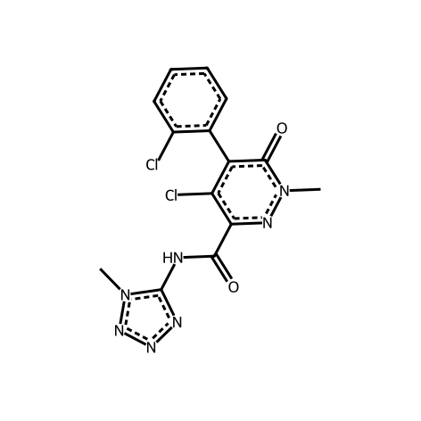 Cn1nnnc1NC(=O)c1nn(C)c(=O)c(-c2ccccc2Cl)c1Cl